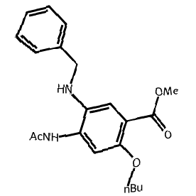 CCCCOc1cc(NC(C)=O)c(NCc2ccccc2)cc1C(=O)OC